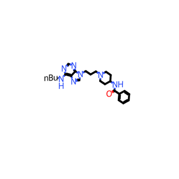 CCCCNc1ncnc2c1ncn2CCCN1CCC(NC(=O)c2ccccc2)CC1